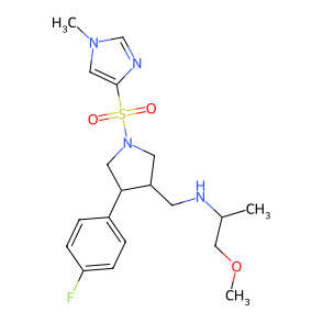 COCC(C)NCC1CN(S(=O)(=O)c2cn(C)cn2)CC1c1ccc(F)cc1